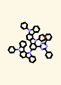 c1ccc(-c2nc(-c3ccccc3)nc(-c3cc(-n4c5ccccc5c5ccc6c(c7ccccc7n6-c6ccccc6)c54)cc4c5ccc6c(c7ccccc7n6-c6ccccc6)c5n(-c5ccccc5)c34)n2)cc1